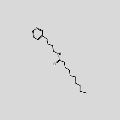 CCCCCCCCCC(=O)NCCCSc1cccnc1